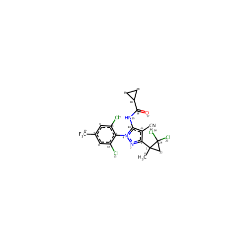 CC1(c2nn(-c3c(Cl)cc(C(F)(F)F)cc3Cl)c(NC(=O)C3CC3)c2C#N)CC1(Cl)Cl